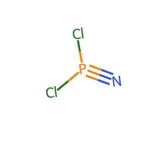 N#P(Cl)Cl